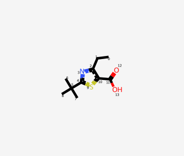 CCc1nc(C(C)(C)C)sc1C(=O)O